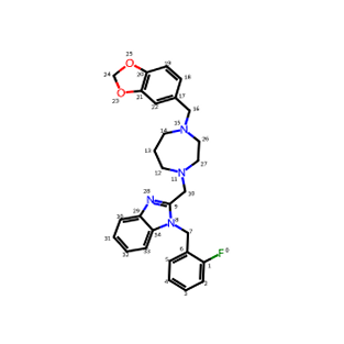 Fc1ccccc1Cn1c(CN2CCCN(Cc3ccc4c(c3)OCO4)CC2)nc2ccccc21